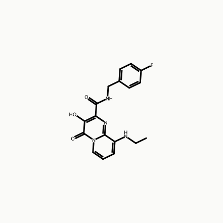 CCNc1cccn2c(=O)c(O)c(C(=O)NCc3ccc(F)cc3)nc12